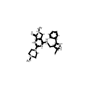 CC(=O)N1CCN(c2nc(NCc3c(-c4ccccc4)noc3C)c3c(n2)C(=O)N(C(C)C)C3)CC1